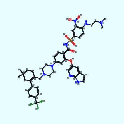 CN(C)CCNc1ccc(S(=O)(=O)NC(=O)c2ccc(N3CCN(CC4=C(c5ccc(C(F)(F)F)cc5)CC(C)(C)CC4)CC3)cc2Oc2cnc3[nH]ccc3c2)cc1[N+](=O)[O-]